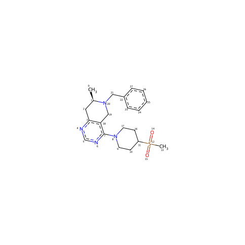 C[C@@H]1Cc2ncnc(N3CCC(S(C)(=O)=O)CC3)c2CN1Cc1ccccc1